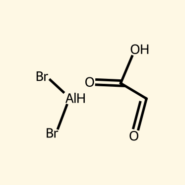 O=CC(=O)O.[Br][AlH][Br]